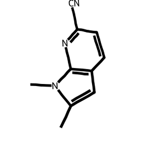 Cc1cc2ccc(C#N)nc2n1C